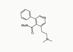 CNC(=O)c1c(-c2ccccc2)[c]ncc1CCN(C)C